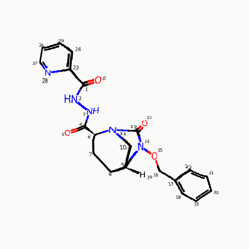 O=C(NNC(=O)[C@@H]1CC[C@@H]2CN1C(=O)N2OCc1ccccc1)c1ccccn1